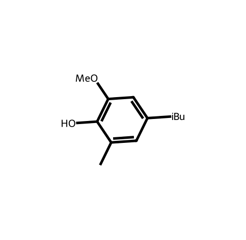 CCC(C)c1cc(C)c(O)c(OC)c1